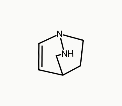 C1=CN2CCC1CN2